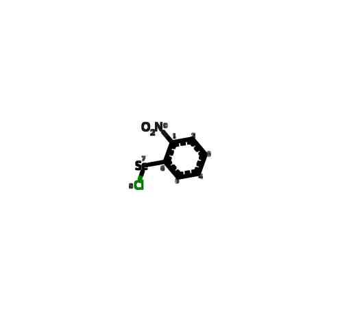 O=[N+]([O-])c1ccccc1[Se]Cl